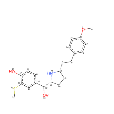 COc1ccc(CC[C@@H]2CC[C@H](C(O)c3ccc(O)c(SC)c3)N2)cc1